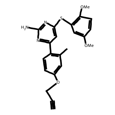 C#CCOc1ccc(-c2cc(Sc3cc(OC)ccc3OC)nc(N)n2)c(C)c1